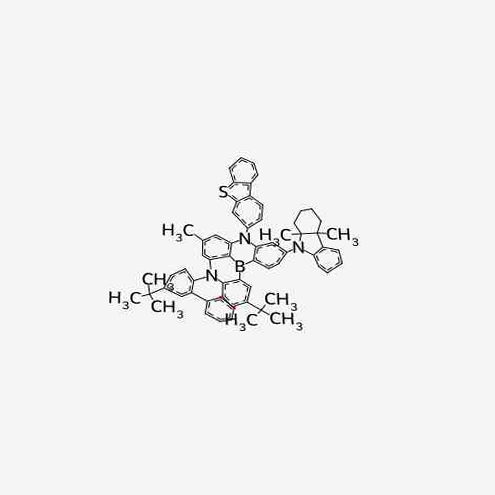 Cc1cc2c3c(c1)N(c1ccc(C(C)(C)C)cc1-c1ccccc1)c1ccc(C(C)(C)C)cc1B3c1ccc(N3c4ccccc4C4(C)CCCCC34C)cc1N2c1ccc2c(c1)sc1ccccc12